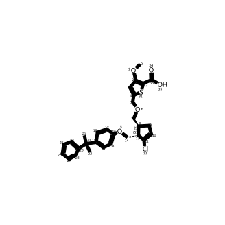 COc1cc(COC[C@H]2CC=C(Cl)[C@@H]2COc2ccc(C(C)(C)c3ccccc3)cc2)sc1C(=O)O